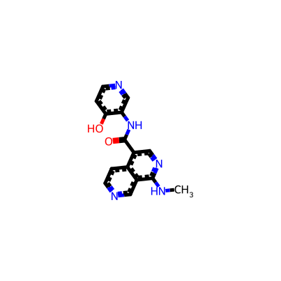 CNc1ncc(C(=O)Nc2cnccc2O)c2ccncc12